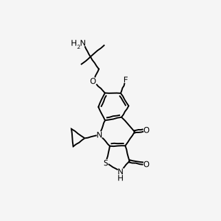 CC(C)(N)COc1cc2c(cc1F)c(=O)c1c(=O)[nH]sc1n2C1CC1